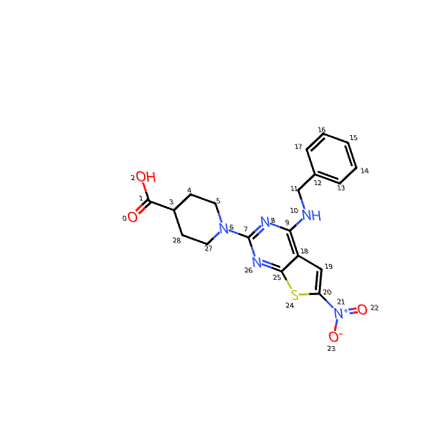 O=C(O)C1CCN(c2nc(NCc3ccccc3)c3cc([N+](=O)[O-])sc3n2)CC1